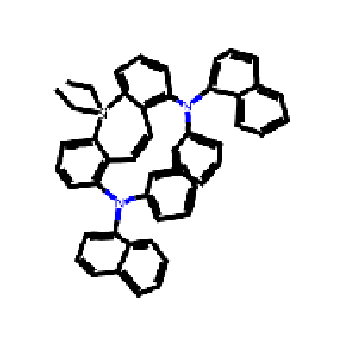 CC[Si]1(CC)c2cccc(N(c3ccccc3)c3cccc4ccccc34)c2C=Cc2c(N(c3ccccc3)c3cccc4ccccc34)cccc21